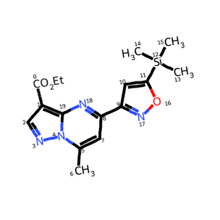 CCOC(=O)c1cnn2c(C)cc(-c3cc([Si](C)(C)C)on3)nc12